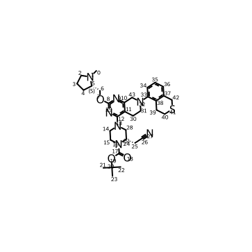 CN1CCC[C@H]1COc1nc2c(c(N3CCN(C(=O)OC(C)(C)C)[C@@H](CC#N)C3)n1)CCN(c1cccc3c1CCSC3)C2